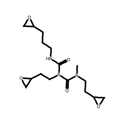 CN(CCC1CO1)C(=O)N(CCC1CO1)C(=O)NCCCC1CO1